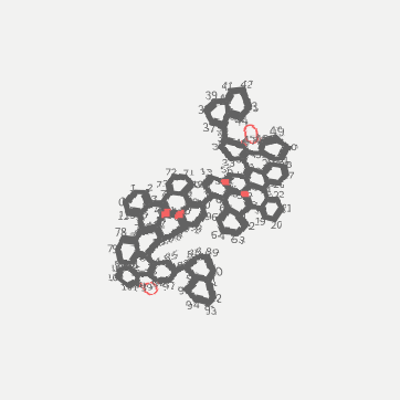 c1ccc(-c2cc3cccc(-c4cccc5cc(-c6ccccc6-c6c7ccccc7c(-c7ccc(-c8cccc9ccccc89)c8oc9ccccc9c78)c7ccccc67)c6ccccc6c45)c3c3ccccc23)c(-c2c3ccccc3c(-c3cc(-c4cccc5ccccc45)cc4oc5ccccc5c34)c3ccccc23)c1